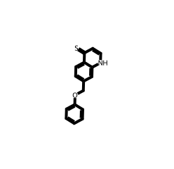 S=c1cc[nH]c2cc(COc3ccccc3)ccc12